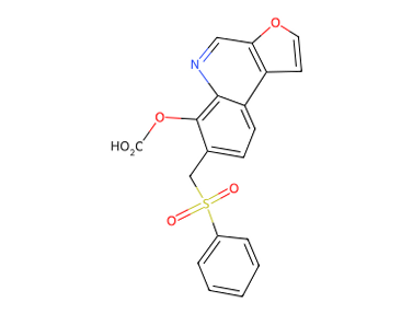 O=C(O)Oc1c(CS(=O)(=O)c2ccccc2)ccc2c1ncc1occc12